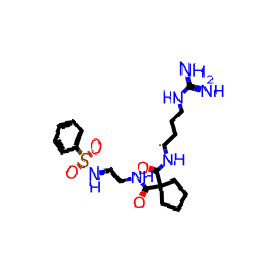 N=C(N)NCCC[CH]NC(=O)C1(C(=O)NCCNS(=O)(=O)c2ccccc2)CCCC1